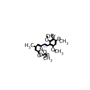 COc1cc(OC)c(/C=C/c2cc(C)cc(=O)n2OS(C)(=O)=O)c(OC)c1Br